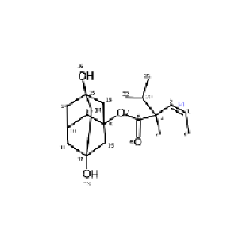 C/C=C\C(C)(C(=O)OC12CC3CC(O)(CC(O)(C3)C1)C2)C(C)C